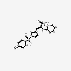 NC(=O)C(=Cc1ccn(S(=O)(=O)c2ccc(Br)cc2)c1)OC1CCCCO1